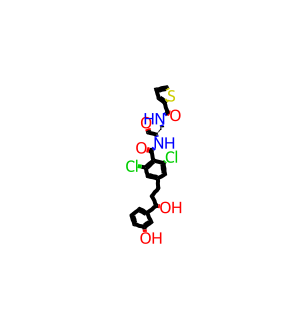 O=C[C@H](CNC(=O)c1cccs1)NC(=O)c1c(Cl)cc(CCC(O)c2cccc(O)c2)cc1Cl